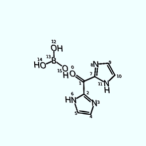 O=C(c1ncc[nH]1)c1ncc[nH]1.OB(O)O